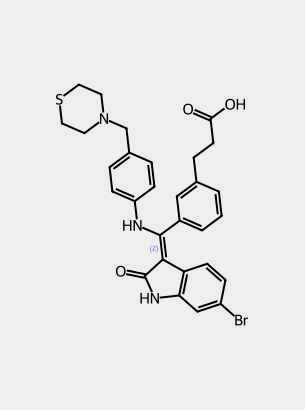 O=C(O)CCc1cccc(/C(Nc2ccc(CN3CCSCC3)cc2)=C2/C(=O)Nc3cc(Br)ccc32)c1